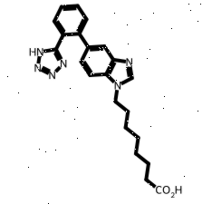 O=C(O)CCCCCCCn1cnc2cc(-c3ccccc3-c3nnn[nH]3)ccc21